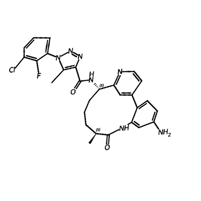 Cc1c(C(=O)N[C@H]2CCC[C@H](C)C(=O)Nc3cc(N)ccc3-c3ccnc2c3)nnn1-c1cccc(Cl)c1F